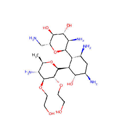 C[C@H]1O[C@@H]([C@@H]2[C@@H](O)[C@H](N)C[C@H](N)[C@H]2[C@H]2O[C@H](CN)[C@@H](O)[C@H](O)[C@H]2N)[C@H](OCCO)[C@@H](OCCO)[C@@H]1N